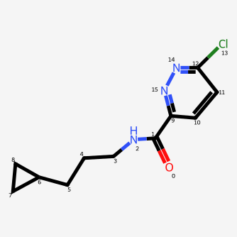 O=C(NCCCC1CC1)c1ccc(Cl)nn1